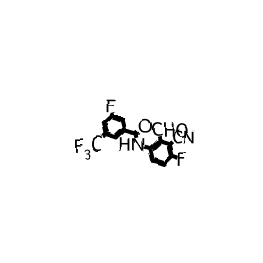 N#Cc1c(F)ccc(NC(=O)c2cc(F)cc(C(F)(F)F)c2)c1C=O